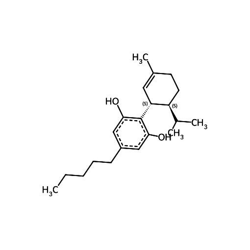 CCCCCc1cc(O)c([C@@H]2C=C(C)CC[C@H]2C(C)C)c(O)c1